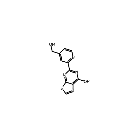 OCc1ccnc(-c2nc(O)c3ccsc3n2)c1